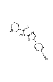 CN1CCCC(C(=O)Nc2ncc(-c3ccc(C#N)cc3)s2)C1